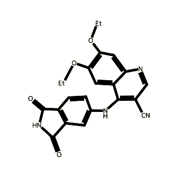 CCOc1cc2ncc(C#N)c(Nc3ccc4c(c3)C(=O)NC4=O)c2cc1OCC